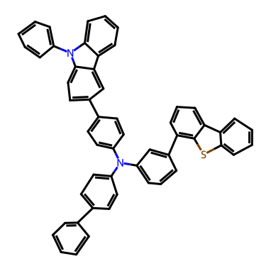 c1ccc(-c2ccc(N(c3ccc(-c4ccc5c(c4)c4ccccc4n5-c4ccccc4)cc3)c3cccc(-c4cccc5c4sc4ccccc45)c3)cc2)cc1